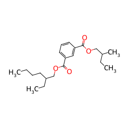 CCCCC(CC)COC(=O)c1cccc(C(=O)OCC(C)CC)c1